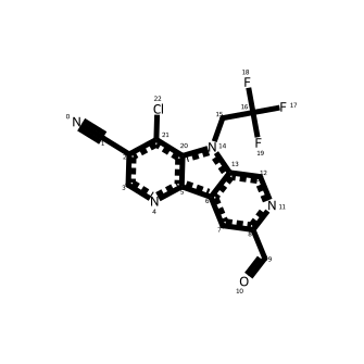 N#Cc1cnc2c3cc(C=O)ncc3n(CC(F)(F)F)c2c1Cl